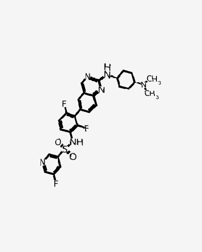 CN(C)[C@H]1CC[C@@H](Nc2ncc3cc(-c4c(F)ccc(NS(=O)(=O)c5cncc(F)c5)c4F)ccc3n2)CC1